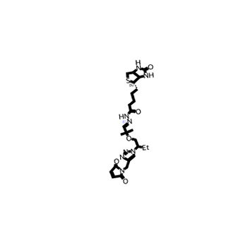 CCC(COC(C)(C)/C=N/NC(=O)CCCC[C@@H]1SCC2NC(=O)NC21)n1cc(CN2C(=O)C=CC2=O)nn1